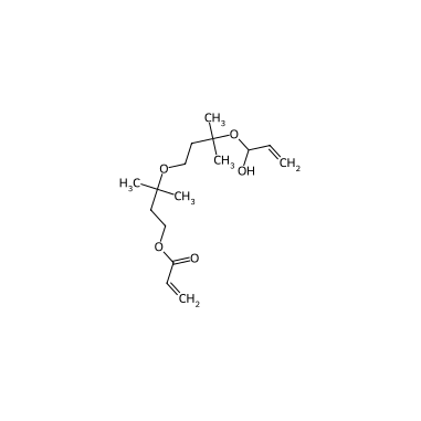 C=CC(=O)OCCC(C)(C)OCCC(C)(C)OC(O)C=C